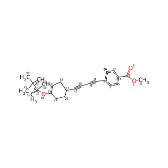 COC(=O)c1ccc(C#CC#CC2CCC(O[Si](C)(C)C(C)(C)C)CC2)cc1